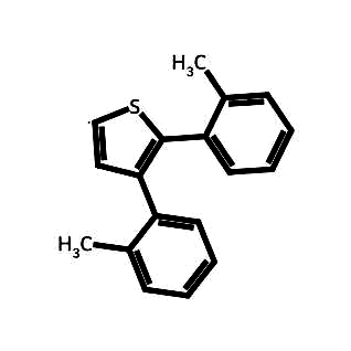 Cc1ccccc1-c1c[c]sc1-c1ccccc1C